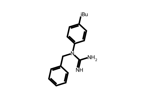 CCC(C)c1ccc(N(Cc2ccccc2)C(=N)N)cc1